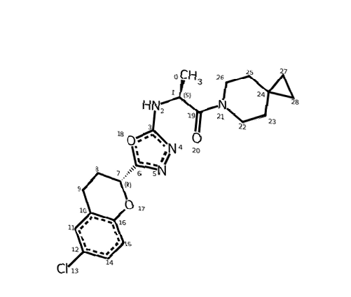 C[C@H](Nc1nnc([C@H]2CCc3cc(Cl)ccc3O2)o1)C(=O)N1CCC2(CC1)CC2